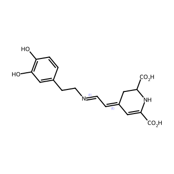 O=C(O)C1=C/C(=C/C=N/CCc2ccc(O)c(O)c2)CC(C(=O)O)N1